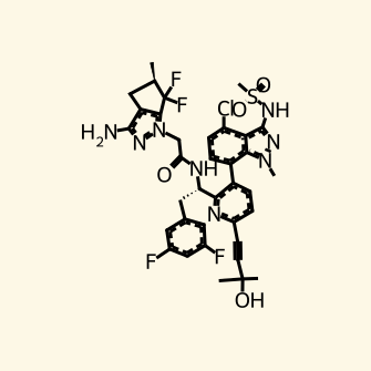 C[C@@H]1Cc2c(N)nn(CC(=O)N[C@@H](Cc3cc(F)cc(F)c3)c3nc(C#CC(C)(C)O)ccc3-c3ccc(Cl)c4c(NS(C)(=O)=O)nn(C)c34)c2C1(F)F